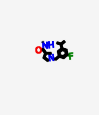 CNC(=O)C1CCN(Cc2cc(F)cc(C(C)C)c2)C1